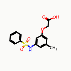 Cc1cc(NS(=O)(=O)c2ccccc2)cc(OCC(=O)O)c1